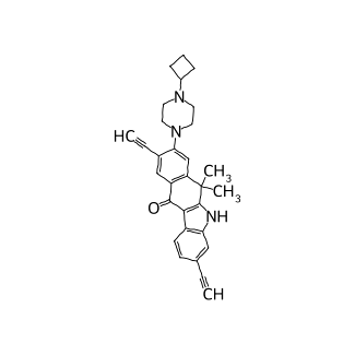 C#Cc1ccc2c3c([nH]c2c1)C(C)(C)c1cc(N2CCN(C4CCC4)CC2)c(C#C)cc1C3=O